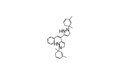 CC1=CC(C)(N2CC=C(C(=Cc3ccccc3)C3=CCN(C4(C)C=C(C)C=CC4)N3)N2)CC=C1